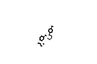 Nc1nc2cc(F)c(C(=O)N3C[C@@H](F)C[C@@H]4Oc5cc(C(F)(F)F)ccc5[C@@H]43)cc2n2cncc12